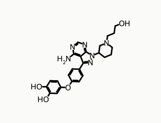 Nc1ncnc2c1c(-c1ccc(Oc3ccc(O)c(O)c3)cc1)nn2C1CCCN(CCCO)C1